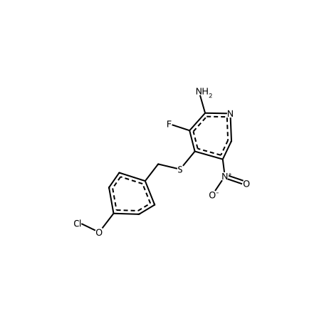 Nc1ncc([N+](=O)[O-])c(SCc2ccc(OCl)cc2)c1F